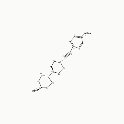 CCCCCCc1ccc(C#C[C@H]2CC[C@H]([C@H]3CC[C@H](CCC)CC3)CC2)cc1